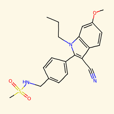 CCCn1c(-c2ccc(CNS(C)(=O)=O)cc2)c(C#N)c2ccc(OC)cc21